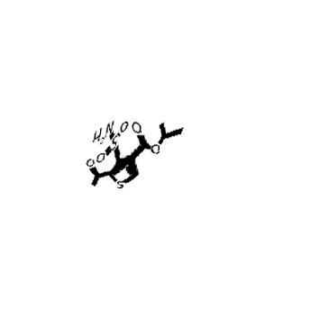 CC(=O)c1scc(C(=O)OC(C)C)c1S(N)(=O)=O